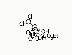 CCOC(=O)C(O)C(O)C(Cc1ccc(-c2cc(Cl)cc(Cl)c2)cc1)NC(=O)C1CCCN1C(=O)OC(C)(C)C